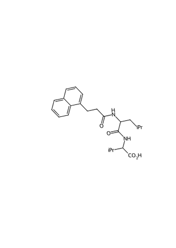 CC(C)CC(NC(=O)CCc1cccc2ccccc12)C(=O)NC(C(=O)O)C(C)C